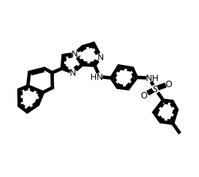 Cc1ccc(S(=O)(=O)Nc2ccc(Nc3nccn4cc(C5C=Cc6ccccc6C5)nc34)cc2)cc1